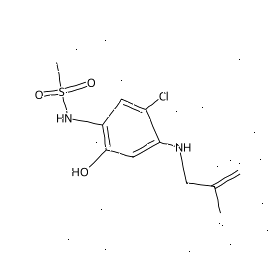 C=C(C)CNc1cc(O)c(NS(C)(=O)=O)cc1Cl